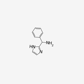 NC(c1ccccc1)c1ncc[nH]1